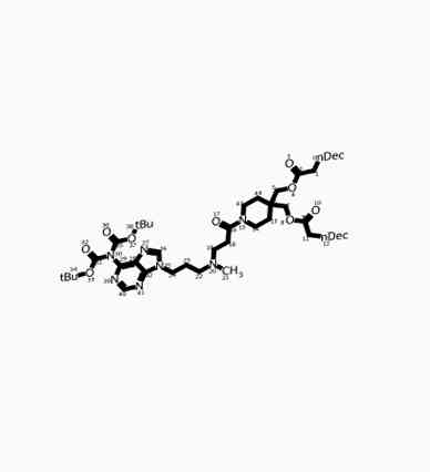 CCCCCCCCCCCC(=O)OCC1(COC(=O)CCCCCCCCCCC)CCN(C(=O)CCN(C)CCCn2cnc3c(N(C(=O)OC(C)(C)C)C(=O)OC(C)(C)C)ncnc32)CC1